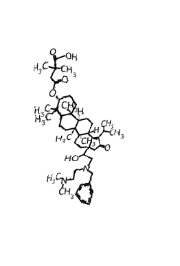 CC(C)C1=C2[C@H]3CC[C@@H]4[C@@]5(C)CC[C@H](OC(=O)CC(C)(C)C(=O)O)C(C)(C)C5CC[C@@]4(C)[C@]3(C)CCC2(C(O)CN(CCN(C)C)Cc2ccccc2)CC1=O